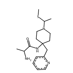 CSC(C)N1CCC(Cc2ccccn2)(NC(=O)C(C)N)CC1